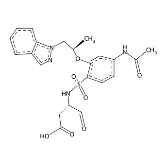 CC(=O)Nc1ccc(S(=O)(=O)N[C@H](C=O)CC(=O)O)c(O[C@H](C)Cn2ncc3ccccc32)c1